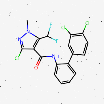 Cn1nc(Cl)c(C(=O)Nc2ccccc2-c2ccc(Cl)c(Cl)c2)c1C(F)F